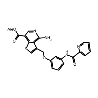 COC(=O)c1cnc(N)c2c(COc3cccc(NC(=O)c4ccccn4)c3)csc12